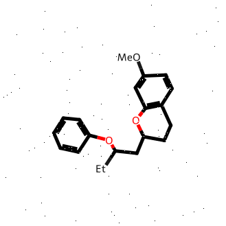 [CH2]CC(CC1CCc2ccc(OC)cc2O1)Oc1ccccc1